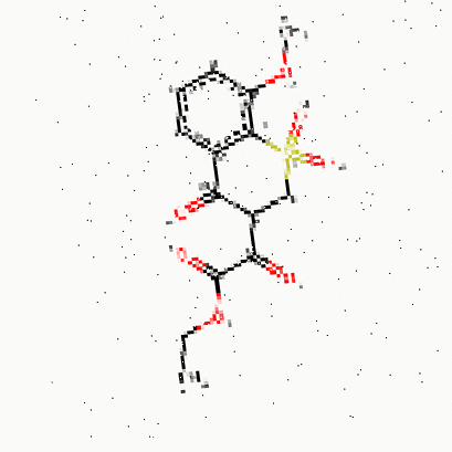 CCOC(=O)C(=O)C1CS(=O)(=O)c2c(OC)cccc2C1=O